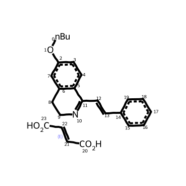 CCCCOc1ccc2c(c1)CCN=C2C=Cc1ccccc1.O=C(O)/C=C/C(=O)O